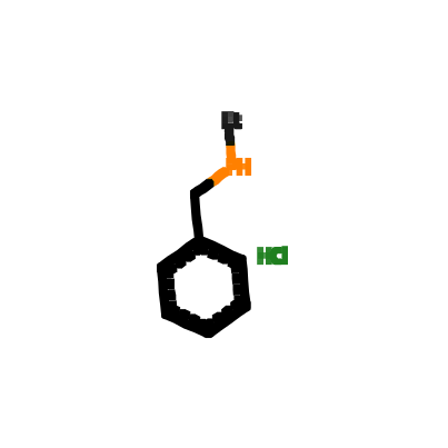 CCPCc1ccccc1.Cl